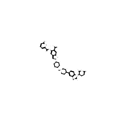 Cn1c(=O)n(C2CCC(=O)NC2=O)c2ccc(C3CCN(C[C@H]4CC[C@H](n5cc6cc(NC(=O)c7cccc(C(F)(F)F)n7)c(C(F)F)cc6n5)CC4)CC3)cc21